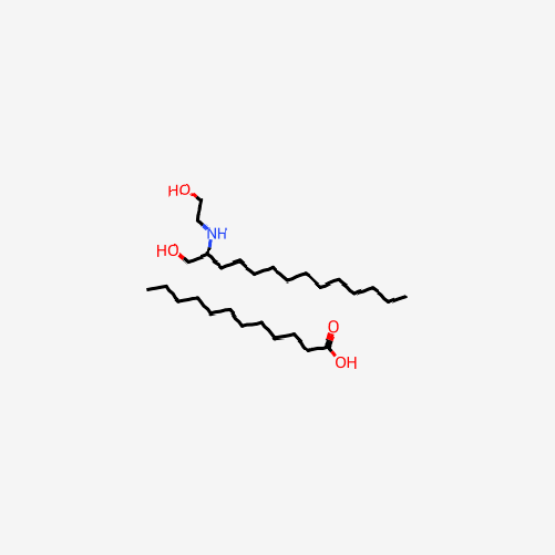 CCCCCCCCCCCC(=O)O.CCCCCCCCCCCCC(CO)NCCO